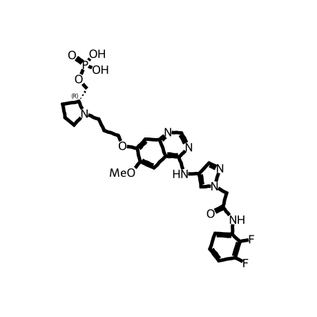 COc1cc2c(Nc3cnn(CC(=O)Nc4cccc(F)c4F)c3)ncnc2cc1OCCCN1CCC[C@@H]1COP(=O)(O)O